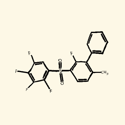 Cc1ccc(S(=O)(=O)c2[c]c(F)c(F)c(F)c2F)c(F)c1-c1ccccc1